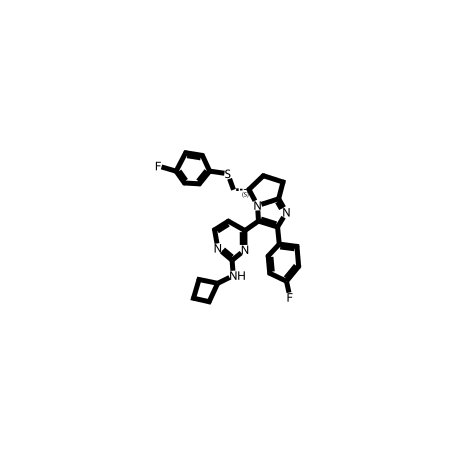 Fc1ccc(SC[C@@H]2CCc3nc(-c4ccc(F)cc4)c(-c4ccnc(NC5CCC5)n4)n32)cc1